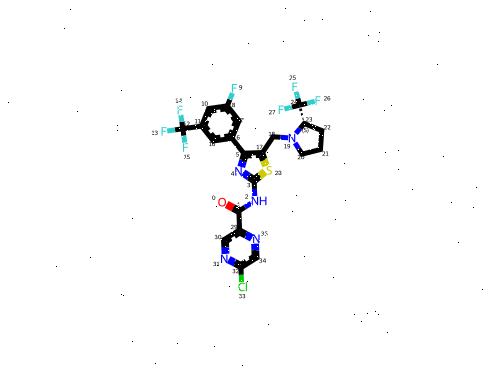 O=C(Nc1nc(-c2cc(F)cc(C(F)(F)F)c2)c(CN2CCC[C@H]2C(F)(F)F)s1)c1cnc(Cl)cn1